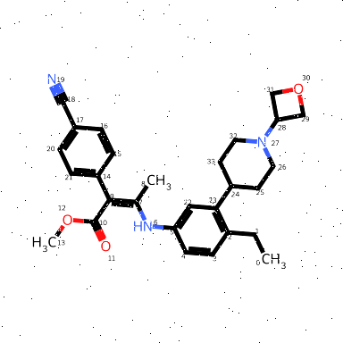 CCc1ccc(N/C(C)=C(\C(=O)OC)c2ccc(C#N)cc2)cc1C1CCN(C2COC2)CC1